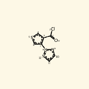 O=C(Cl)c1cscc1-n1nccn1